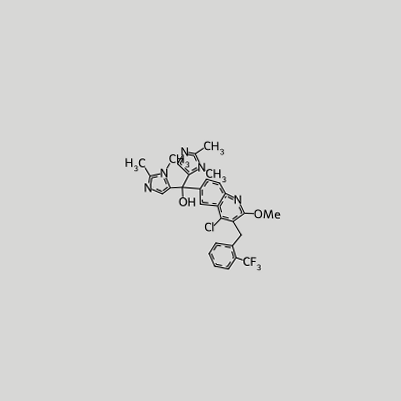 COc1nc2ccc(C(O)(c3cnc(C)n3C)c3cnc(C)n3C)cc2c(Cl)c1Cc1ccccc1C(F)(F)F